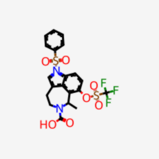 CC1c2c(OS(=O)(=O)C(F)(F)F)ccc3c2c(cn3S(=O)(=O)c2ccccc2)CCN1C(=O)O